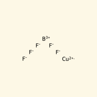 [B+3].[Cu+2].[F-].[F-].[F-].[F-].[F-]